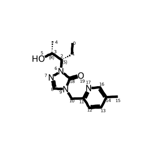 CC[C@@H]([C@@H](C)O)n1ncn(Cc2ccc(C)cn2)c1=O